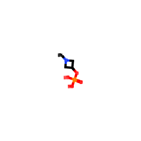 CC(C)N1CC(OP(=O)(O)O)C1